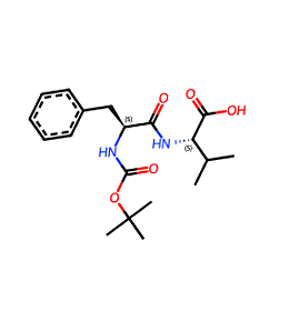 CC(C)[C@H](NC(=O)[C@H](Cc1ccccc1)NC(=O)OC(C)(C)C)C(=O)O